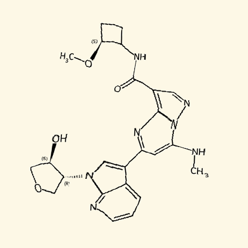 CNc1cc(-c2cn([C@@H]3COC[C@H]3O)c3ncccc23)nc2c(C(=O)NC3CC[C@@H]3OC)cnn12